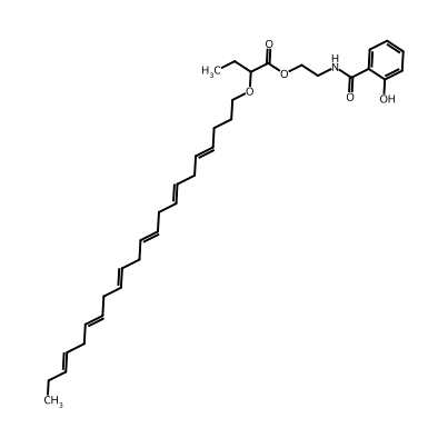 CCC=CCC=CCC=CCC=CCC=CCC=CCCCOC(CC)C(=O)OCCNC(=O)c1ccccc1O